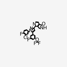 O=C1NCc2c1ccnc2-c1cc(-c2cc(F)cc(OC(F)F)c2)n(-c2ccc(F)c(Cl)c2)n1